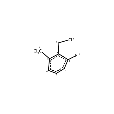 Fc1cccc(C(Cl)(Cl)Cl)c1CCl